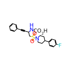 O=C(O)NC(C#Cc1ccccc1)CS(=O)(=O)N1CCC(c2ccc(F)cc2)CC1